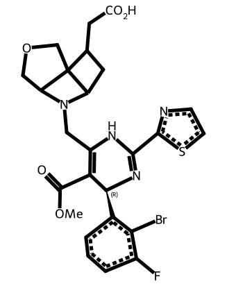 COC(=O)C1=C(CN2C3COCC34C(CC(=O)O)CC24)NC(c2nccs2)=N[C@H]1c1cccc(F)c1Br